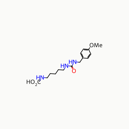 COc1ccc(CNC(=O)NCCCCCNC(=O)O)cc1